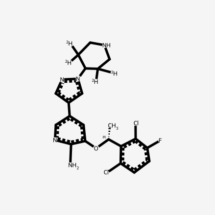 [2H]C1([2H])CNCC([2H])([2H])C1n1cc(-c2cnc(N)c(O[C@H](C)c3c(Cl)ccc(F)c3Cl)c2)cn1